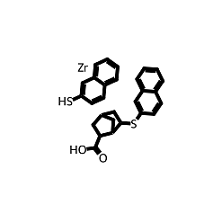 O=C(O)C1CC2CC(Sc3ccc4ccccc4c3)C1C2.Sc1ccc2ccccc2c1.[Zr]